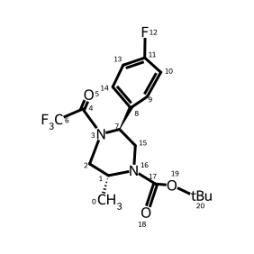 C[C@@H]1CN(C(=O)C(F)(F)F)[C@@H](c2ccc(F)cc2)CN1C(=O)OC(C)(C)C